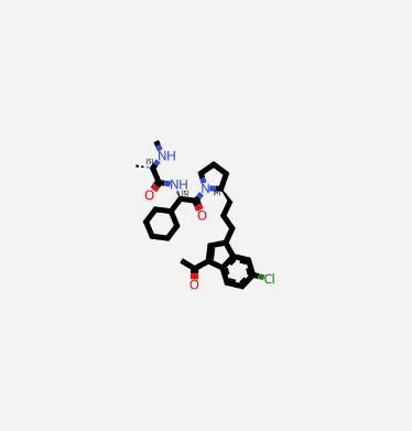 CN[C@@H](C)C(=O)N[C@H](C(=O)N1CCC[C@H]1CCCC1C=C(C(C)=O)c2ccc(Cl)cc21)C1CCCCC1